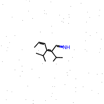 C/C=C\C(=C(/C=N)C(C)C)C(C)C